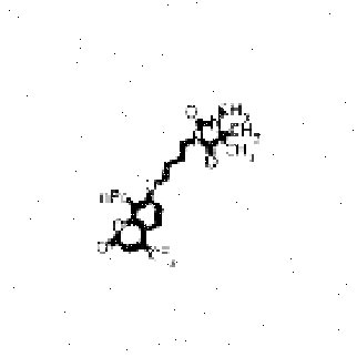 CCCc1c(OCCCCN2C(=O)N(C)C(C)(C)C2=O)ccc2c(C(F)(F)F)cc(=O)oc12